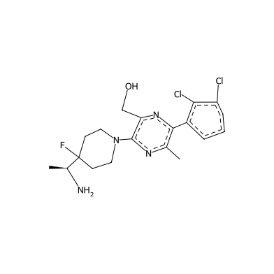 Cc1nc(N2CCC(F)([C@H](C)N)CC2)c(CO)nc1-c1cccc(Cl)c1Cl